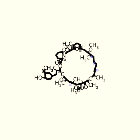 COC1CC(CC(C)[C@@H]2CC(=O)C(C)/C=C(\C)[C@@H](O)C(OC)C(=O)C(C)C[C@H](C)/C=C/C=C/C=C(\C)[C@@H](OC)C[C@@H]3CC[C@@H](C)[C@@](O)(O3)C(=O)C(=O)N3CCCC[C@H]3C(=O)O2)CC[C@H]1O